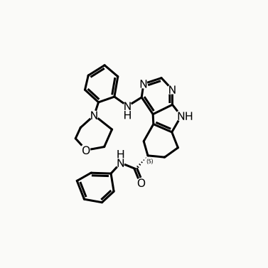 O=C(Nc1ccccc1)[C@H]1CCc2[nH]c3ncnc(Nc4ccccc4N4CCOCC4)c3c2C1